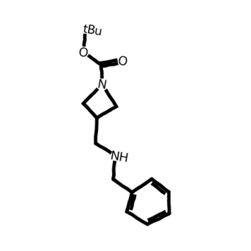 CC(C)(C)OC(=O)N1CC(CNCc2ccccc2)C1